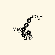 COc1cc(N2CCC(N3CCN(CCC(=O)O)CC3)CC2)ccc1Nc1ncc(Cl)c(Nc2ccccc2N(C)[S+](C)[O-])n1